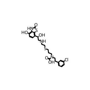 O=C(O)N(CCCSCCNC[C@H](O)c1ccc(O)c2[nH]c(=O)sc12)CCc1cccc(Cl)c1